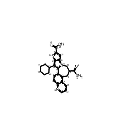 NC(=O)C1Cc2c(ccc3ncccc23)-c2c(C3CCCCC3)c3sc(C(=O)O)cc3n2C1